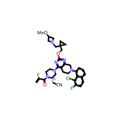 C=C(F)C(=O)N1CCN(c2nc(OCC3(CN4CC(OC)C4)CC3)nc3c2CCN(c2cccc4ccc(F)c(Cl)c24)C3)C[C@@H]1CC#N